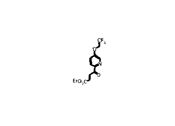 CCOC(=O)/C=C/C(=O)c1ccc(OCC(F)(F)F)cn1